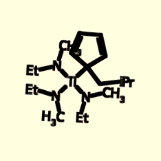 CC[N](C)[Ti]([N](C)CC)([N](C)CC)[C]1(CC(C)C)C=CC=C1